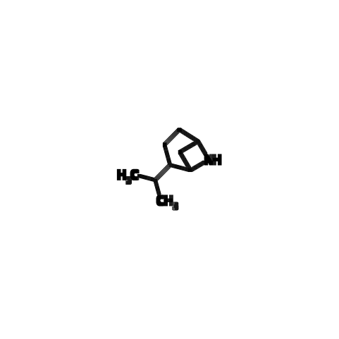 CC(C)C1CCC2CC1N2